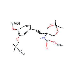 CCCCCCCOc1ccc(C#CC2(NC(=O)OC(C)(C)C)COC(C)(C)OC2)cc1OC[Si](C)(C)C(C)(C)C